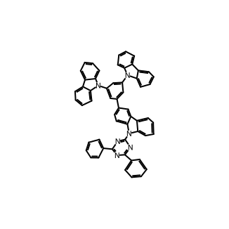 c1ccc(-c2nc(-c3ccccc3)nc(-n3c4ccccc4c4cc(-c5cc(-n6c7ccccc7c7ccccc76)cc(-n6c7ccccc7c7ccccc76)c5)ccc43)n2)cc1